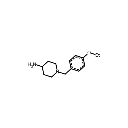 CCOc1ccc(CN2CCC(N)CC2)cc1